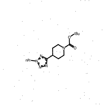 CCCn1nnc(C2CCN(C(=O)OC(C)(C)C)CC2)n1